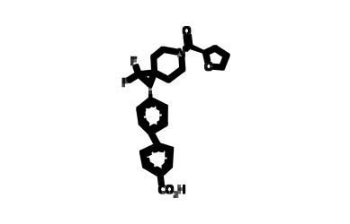 O=C(O)c1ccc(-c2ccc([C@@H]3C(F)(F)C34CCN(C(=O)[C@H]3CCCO3)CC4)cc2)cc1